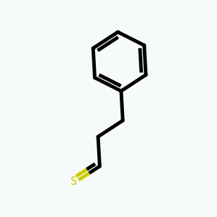 S=CCCc1ccccc1